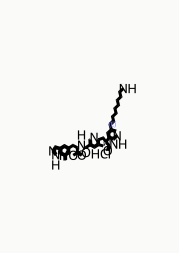 CNCCCCCCC/C=C/c1cnc2c(c1)[C@@]1(Cc3cc(C(=O)NC(Cc4cc(C)c5[nH]ncc5c4)C(=O)O)cnc3C1)C(=O)N2.Cl